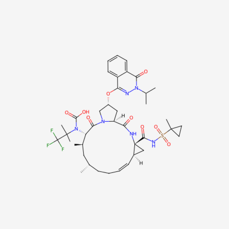 CC(C)n1nc(O[C@@H]2C[C@H]3C(=O)N[C@]4(C(=O)NS(=O)(=O)C5(C)CC5)C[C@H]4C=CCC[C@H](C)C[C@@H](C)[C@H](N(C(=O)O)C(C)(C)C(F)(F)F)C(=O)N3C2)c2ccccc2c1=O